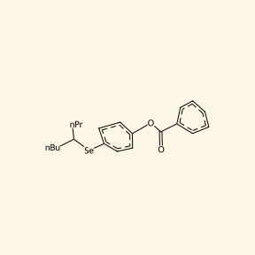 CCCCC(CCC)[Se]c1ccc(OC(=O)c2ccccc2)cc1